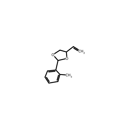 C=CC1COC(c2ccccc2C)O1